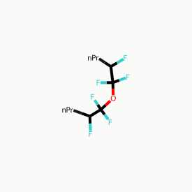 CCCC(F)C(F)(F)OC(F)(F)C(F)CCC